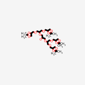 CC1(C)OCC(COCC(COCC2COC(C)(C)O2)OCC(=O)COC(COCC2COC(C)(C)O2)COCC2COC(C)(C)O2)O1